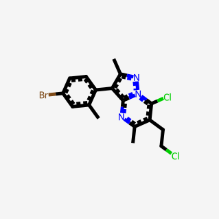 Cc1cc(Br)ccc1-c1c(C)nn2c(Cl)c(CCCl)c(C)nc12